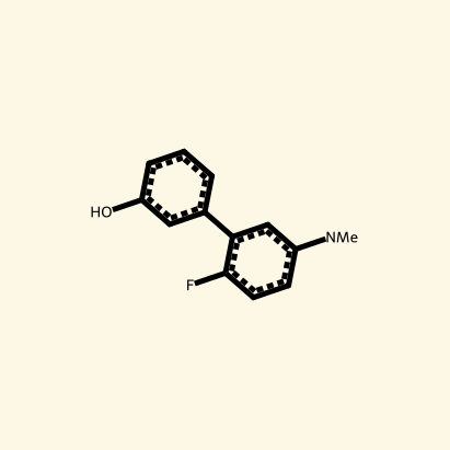 CNc1ccc(F)c(-c2cccc(O)c2)c1